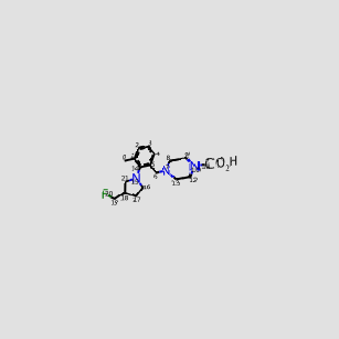 Cc1cccc(CN2CCN(C(=O)O)CC2)c1N1CCC(CF)C1